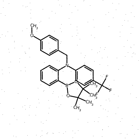 COc1ccc(CN(c2ccc(C(F)(F)F)cc2)c2ccccc2B2OC(C)(C)C(C)(C)O2)cc1